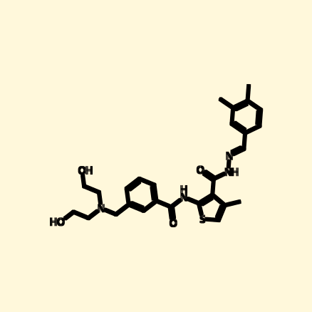 Cc1ccc(C=NNC(=O)c2c(C)csc2NC(=O)c2cccc(CN(CCO)CCO)c2)cc1C